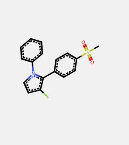 CS(=O)(=O)c1ccc(-c2c(F)ccn2-c2ccccc2)cc1